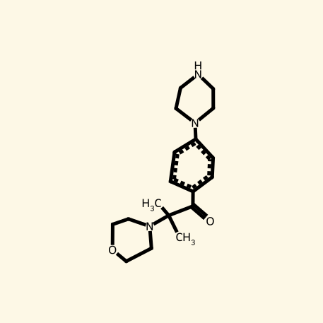 CC(C)(C(=O)c1ccc(N2CCNCC2)cc1)N1CCOCC1